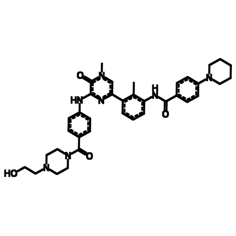 Cc1c(NC(=O)c2ccc(N3CCCCC3)cc2)cccc1-c1cn(C)c(=O)c(Nc2ccc(C(=O)N3CCN(CCO)CC3)cc2)n1